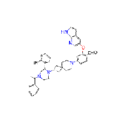 CC(C)c1ccccc1C1CN(C(C)c2ccccc2)CCN1C1CC2(CCN(c3ccc(C=O)c(Oc4cnc5[nH]ccc5c4)c3)CC2)C1